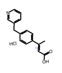 C/C(=C\C(=O)O)c1ccc(Cc2cccnc2)cc1.Cl